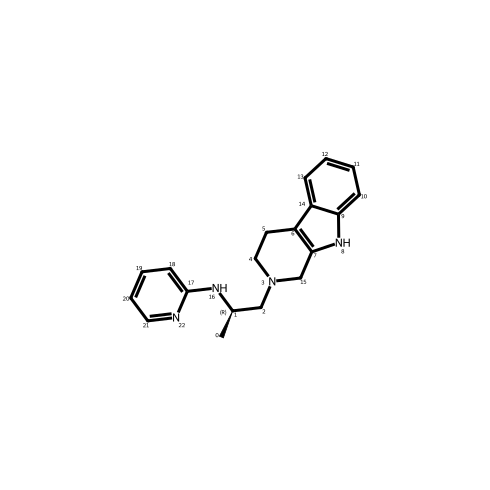 C[C@H](CN1CCc2c([nH]c3ccccc23)C1)Nc1ccccn1